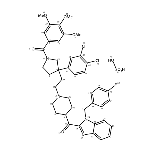 COc1cc(C(=O)N2CCC(CCN3CCC(C(=O)c4nc5ccccc5n4Cc4ccc(F)cc4)CC3)(c3ccc(Cl)c(Cl)c3)C2)cc(OC)c1OC.O=S(=O)(O)O